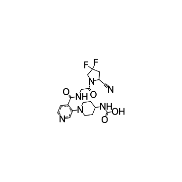 N#CC1CC(F)(F)CN1C(=O)CNC(=O)c1ccncc1N1CCC(NC(=O)O)CC1